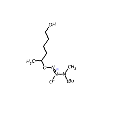 CC(CCCCO)O/N=[N+](\[O-])N(C)C(C)(C)C